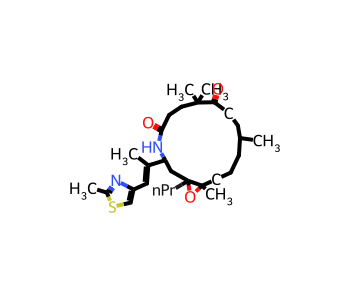 CCCC12CC(C(C)=Cc3csc(C)n3)NC(=O)CCC(C)(C)C(=O)CCC(C)CCCC1(C)O2